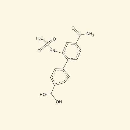 CS(=O)(=O)Nc1cc(C(N)=O)ccc1-c1ccc(C(O)O)cc1